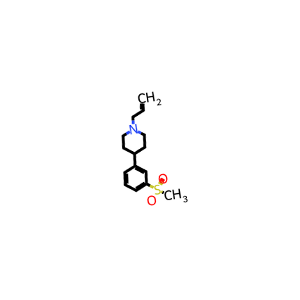 C=CCN1CCC(c2cccc(S(C)(=O)=O)c2)CC1